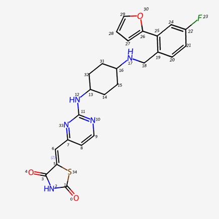 O=C1NC(=O)/C(=C/c2ccnc(NC3CCC(NCc4ccc(F)cc4-c4ccco4)CC3)n2)S1